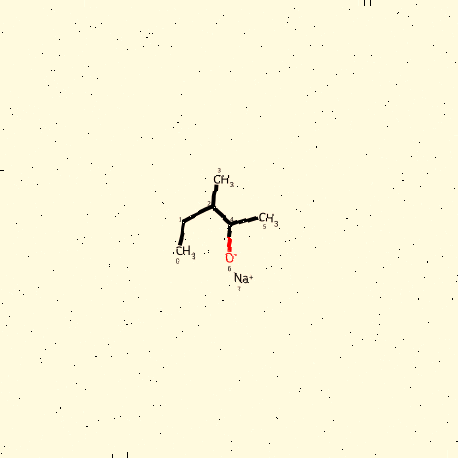 CCC(C)C(C)[O-].[Na+]